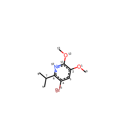 COc1cc(Br)c(C(C)C)nc1OC